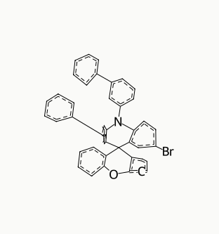 Brc1ccc2c(c1)C1(c3ccccc3Oc3ccccc31)c1ccc(-c3ccccc3)cc1N2c1cccc(-c2ccccc2)c1